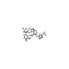 C[C@@H]1Cc2nn3c(c2CN1C(=O)c1ccc(Cl)c(Cl)c1)C(O)N(Cc1cn(C2CC2)nn1)CC3